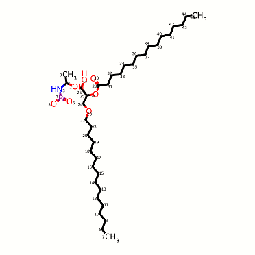 CC(O)NP(=O)=O.CCCCCCCCCCCCCCCCOCC(CO)OC(=O)CCCCCCCCCCCCCCC